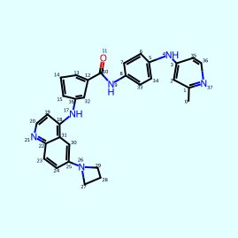 Cc1cc(Nc2ccc(NC(=O)c3cccc(Nc4ccnc5ccc(N6CCC6)cc45)c3)cc2)ccn1